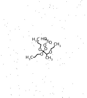 CCCOC(C)C(OCCC)(OCCC)O[O][Ti](=[O])[OH]